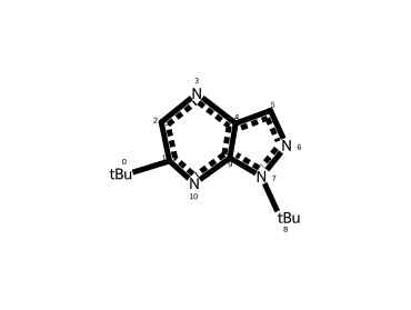 CC(C)(C)c1cnc2cnn(C(C)(C)C)c2n1